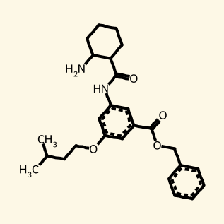 CC(C)CCOc1cc(NC(=O)C2CCCCC2N)cc(C(=O)OCc2ccccc2)c1